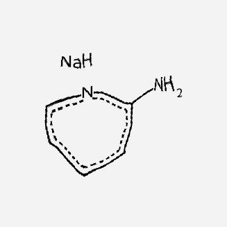 Nc1ccccn1.[NaH]